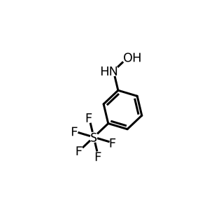 ONc1cccc(S(F)(F)(F)(F)F)c1